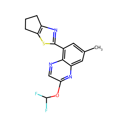 Cc1cc(-c2nc3c(s2)CCC3)c2ncc(OC(F)F)nc2c1